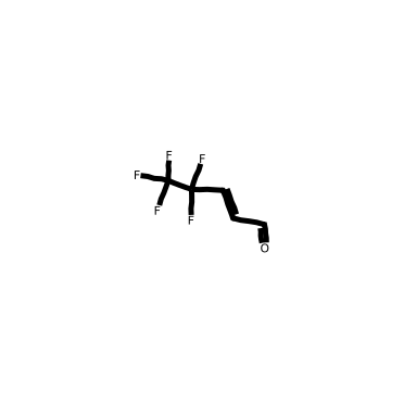 O=CC=CC(F)(F)C(F)(F)F